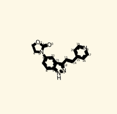 O=C1OCCN1c1ccc2[nH]nc(C=Cc3ccncc3)c2c1